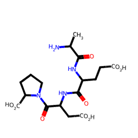 CC(N)C(=O)NC(CCC(=O)O)C(=O)NC(CC(=O)O)C(=O)N1CCCC1C(=O)O